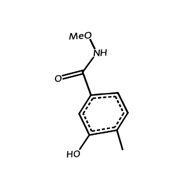 CONC(=O)c1ccc(C)c(O)c1